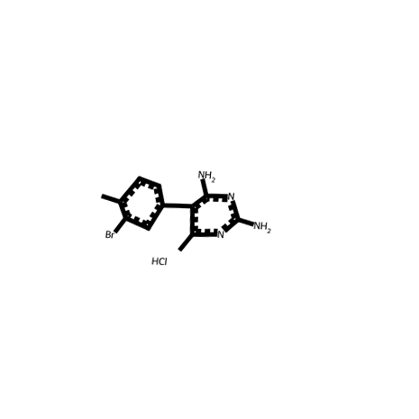 Cc1ccc(-c2c(C)nc(N)nc2N)cc1Br.Cl